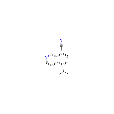 CC(C)c1ccc(C#N)c2cnccc12